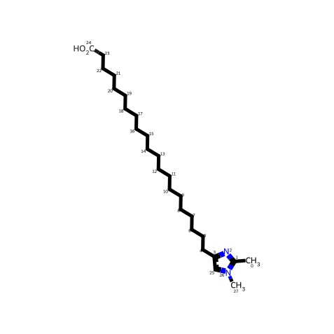 Cc1nc(CCCCCCCCCCCCCCCCCCCCC(=O)O)cn1C